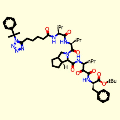 CCCC(NC(=O)C1[C@H]2CCCC2CN1C(=O)[C@@H](NC(=O)[C@@H](NC(=O)CCCCc1nnnn1C(C)(C)c1ccccc1)C(C)C)C(C)C)C(=O)C(=O)N[C@H](Cc1ccccc1)C(=O)OC(C)(C)C